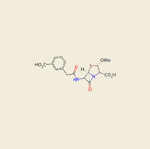 CO[C@H]1S[C@@H]2C(NC(=O)Cc3cccc(C(=O)O)c3)C(=O)N2C1C(=O)O